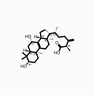 C=C(CC[C@@H](C)[C@H]1CC[C@H]2C3=C(CC[C@]12C)[C@@]1(C)CC[C@@H](O)C(C)(C)[C@@H]1C[C@@H]3O)[C@@H](C)C(=O)O